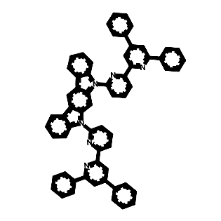 c1ccc(-c2cc(-c3ccccc3)nc(-c3cccc(-n4c5ccccc5c5cc6c7ccccc7n(-c7cccc(-c8cc(-c9ccccc9)cc(-c9ccccc9)n8)n7)c6cc54)n3)c2)cc1